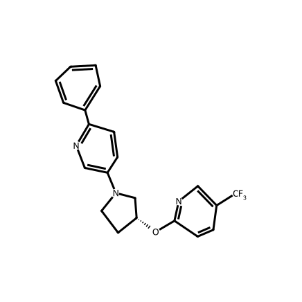 FC(F)(F)c1ccc(O[C@@H]2CCN(c3ccc(-c4ccccc4)nc3)C2)nc1